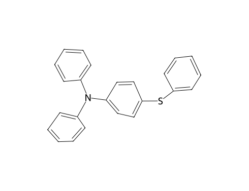 c1ccc(Sc2ccc(N(c3ccccc3)c3ccccc3)cc2)cc1